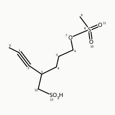 CC#CC(CCCOS(C)(=O)=O)CS(=O)(=O)O